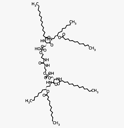 CCCCCCCCCCCCCC(=O)N[C@@H](COP(=O)(O)OCCNC(=O)NCCOP(=O)(O)OC[C@H](NC(=O)CCCCCCCCCCCCC)C(=O)NCC[C@@H](CCCCCCC)OC(=O)CCCCCCCCCCC)C(=O)NCC[C@@H](CCCCCCC)OC(=O)CCCCCCCCCCC